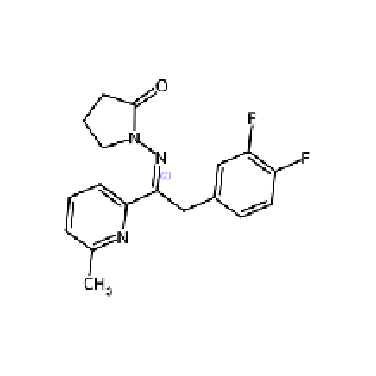 Cc1cccc(/C(Cc2ccc(F)c(F)c2)=N\N2CCCC2=O)n1